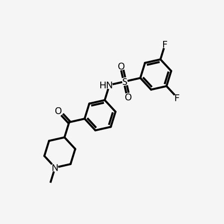 CN1CCC(C(=O)c2cccc(NS(=O)(=O)c3cc(F)cc(F)c3)c2)CC1